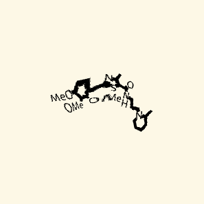 COc1ccc(-c2nc(C)c(C(=O)NCCCN3CCCCC3C)s2)c(OC)c1OC